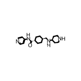 O=C(Nc1ccncc1)[C@H]1CC[C@H](CNC2CCNCC2)CC1